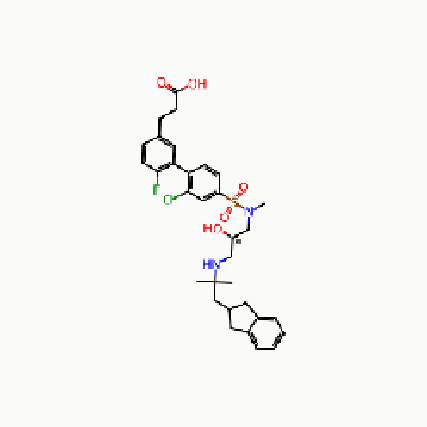 CN(C[C@H](O)CNC(C)(C)CC1Cc2ccccc2C1)S(=O)(=O)c1ccc(-c2cc(CCC(=O)O)ccc2F)c(Cl)c1